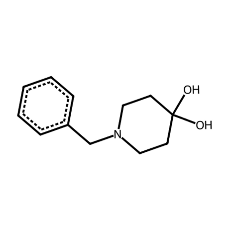 OC1(O)CCN(Cc2ccccc2)CC1